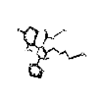 CCOC(=O)C1=C(COCCO)NC(c2nccs2)=NC1c1ccc(F)cc1C